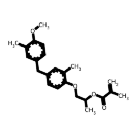 C=C(C)C(=O)OC(C)COc1ccc(Cc2ccc(OC)c(C)c2)cc1C